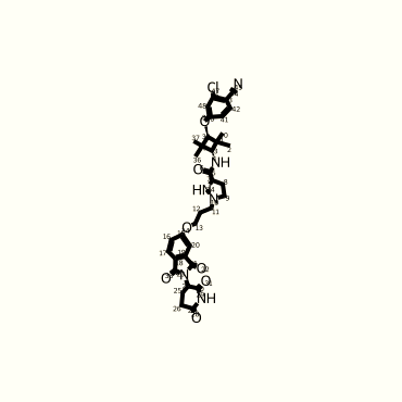 CC1(C)[C@H](NC(=O)C2CCN(CCCOc3ccc4c(c3)C(=O)N(C3CCC(=O)NC3=O)C4=O)N2)C(C)(C)[C@H]1Oc1ccc(C#N)c(Cl)c1